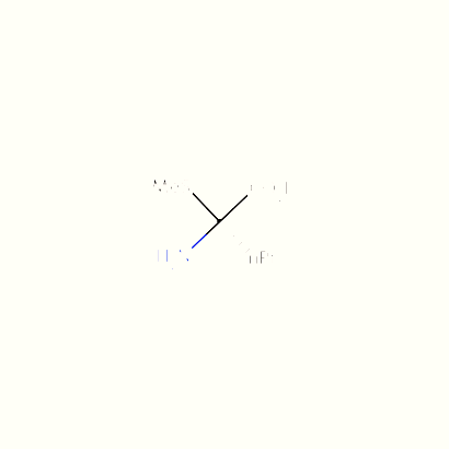 CCC[C@](N)(SC)C(=O)O